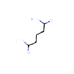 NC(N)CCCC(N)N